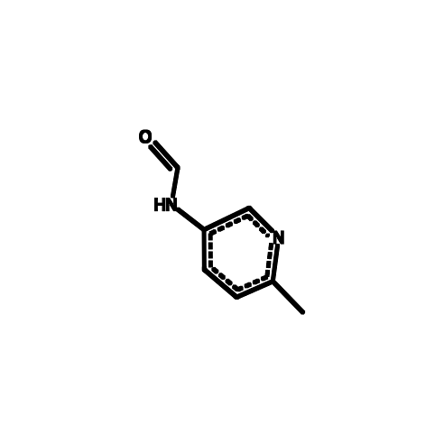 Cc1ccc(NC=O)cn1